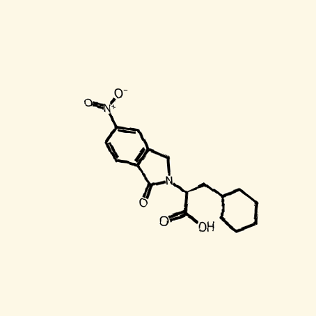 O=C(O)[C@H](CC1CCCCC1)N1Cc2cc([N+](=O)[O-])ccc2C1=O